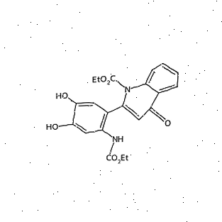 CCOC(=O)Nc1cc(O)c(O)cc1-c1cc(=O)c2ccccc2n1C(=O)OCC